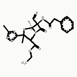 Cc1nnc(C2(C)S[C@@H]3N(C(=O)C3(C=S)NC(=O)Cc3ccccc3)C2C(=O)OCC(Cl)(Cl)Cl)s1